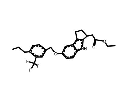 CCCc1ccc(COc2ccc3[nH]c4c(c3c2)CCC4CC(=O)OCC)cc1C(F)(F)F